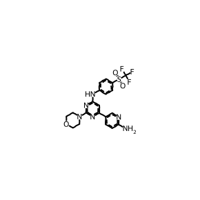 Nc1ccc(-c2cc(Nc3ccc(S(=O)(=O)C(F)(F)F)cc3)nc(N3CCOCC3)n2)cn1